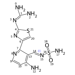 NC(N)=Nc1nc(-c2nccc(N)c2/C=N/S(N)(=O)=O)cs1